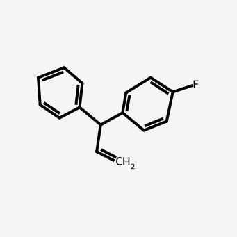 C=CC(c1ccccc1)c1ccc(F)cc1